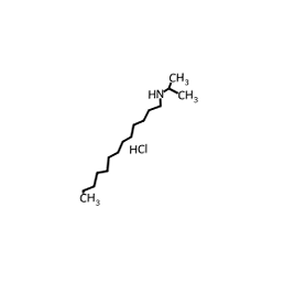 CCCCCCCCCCCCCNC(C)C.Cl